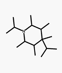 CC(C)N1C(C)C(C)C(C)(C(C)C)C(C)C1C